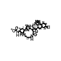 COC(=O)Nc1ccc2c(c1)NCCCNC(=O)CC(NC(=O)C=Cc1cc(Cl)ccc1-n1cnnn1)c1nc-2c[nH]1